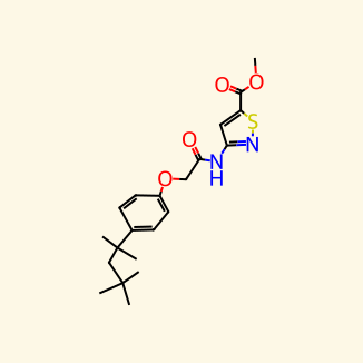 COC(=O)c1cc(NC(=O)COc2ccc(C(C)(C)CC(C)(C)C)cc2)ns1